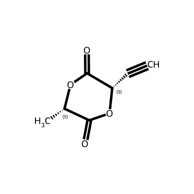 C#C[C@@H]1OC(=O)[C@H](C)OC1=O